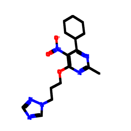 Cc1nc(OCCCn2cncn2)c([N+](=O)[O-])c(C2CCCCC2)n1